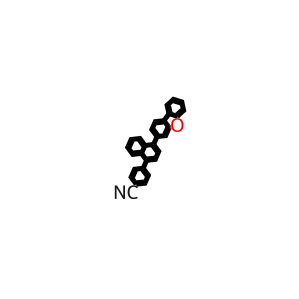 N#Cc1ccc(-c2ccc(-c3ccc4c(c3)oc3ccccc34)c3ccccc23)cc1